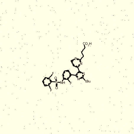 CC(C)(C)c1nc(-c2cccc(NS(=O)(=O)c3c(F)cccc3F)c2F)c(-c2ccnc(CCCC(=O)O)n2)s1